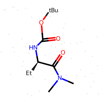 CC[C@@H](NC(=O)OC(C)(C)C)C(=O)N(C)C